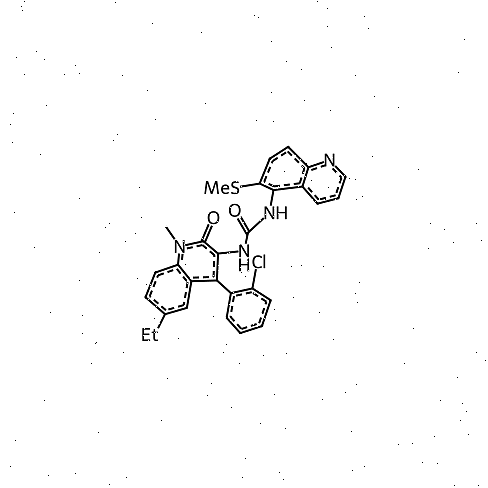 CCc1ccc2c(c1)c(-c1ccccc1Cl)c(NC(=O)Nc1c(SC)ccc3ncccc13)c(=O)n2C